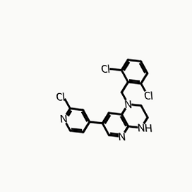 Clc1cc(-c2cnc3c(c2)N(Cc2c(Cl)cccc2Cl)CCN3)ccn1